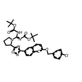 CC(C)(C)OC(=O)N=C(NC(=O)OC(C)(C)C)N1CCCC1c1nc(-c2ccc3cc(OCc4ccc(Cl)cc4)ccc3c2)no1